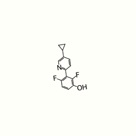 Oc1ccc(F)c(-c2ccc(C3CC3)cn2)c1F